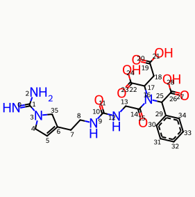 N=C(N)N1CC=C(CCNC(=O)NCC(=O)N(C(CC(=O)O)C(=O)O)C(C(=O)O)c2ccccc2)C1